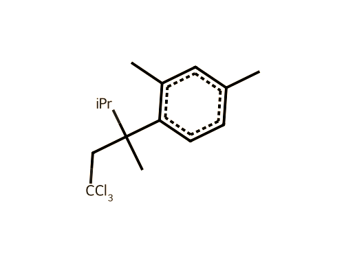 Cc1ccc(C(C)(CC(Cl)(Cl)Cl)C(C)C)c(C)c1